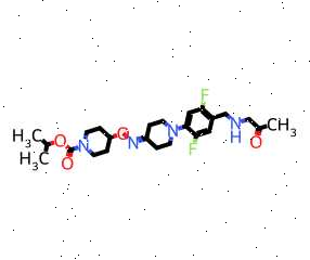 CC(=O)CNCc1cc(F)c(N2CCC(=NOC3CCN(C(=O)OC(C)C)CC3)CC2)cc1F